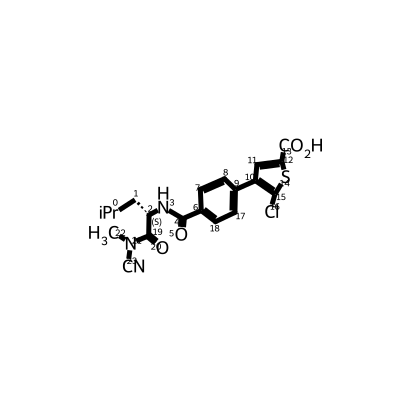 CC(C)C[C@H](NC(=O)c1ccc(-c2cc(C(=O)O)sc2Cl)cc1)C(=O)N(C)C#N